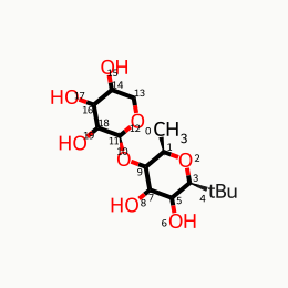 C[C@H]1O[C@@H](C(C)(C)C)C(O)C(O)C1O[C@@H]1OCC(O)C(O)C1O